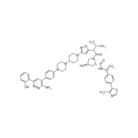 Cc1ncsc1-c1ccc([C@H](C)NC(=O)[C@@H]2C[C@@H](O)CN2C(=O)C(c2cc(N3CCC(N4CCN(c5ccc(-c6cc(-c7ccccc7O)nnc6N)cc5)CC4)CC3)no2)C(C)C)cc1